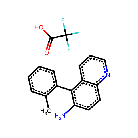 Cc1ccccc1-c1c(N)ccc2ncccc12.O=C(O)C(F)(F)F